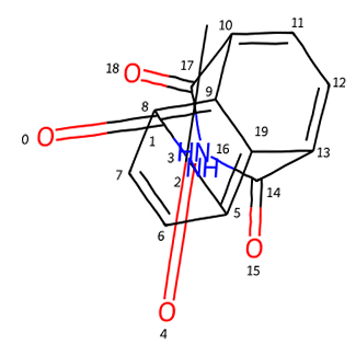 O=c1[nH]c(=O)c2ccc1c1c3ccc(c(=O)[nH]c3=O)c21